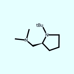 CN(C)C[C@@H]1CCCN1C(C)(C)C